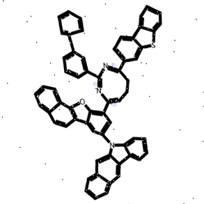 C1=C(c2cc(-n3c4ccccc4c4cc5ccccc5cc43)cc3c2oc2c4ccccc4ccc32)/N=C(c2cccc(-c3ccccc3)c2)\N=C(\c2ccc3c(c2)sc2ccccc23)CC\1